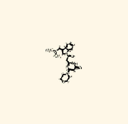 CN(C)CC1CN(C(=O)Cc2nc(N3CCOCC3)cc(=O)[nH]2)c2ccccc21